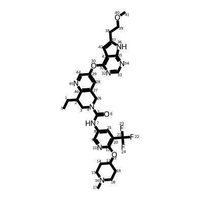 CCC1CN(C(=O)Nc2cnc(OC3CCN(C)CC3)c(C(F)(F)F)c2)Cc2cc(Oc3ncnc4[nH]c(CCOC)cc34)cnc21